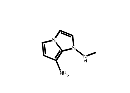 CNn1ccn2ccc(N)c12